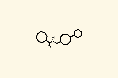 O=C(NCC1CCCC(C2CCCCC2)CCC1)C1CCCCCCC1